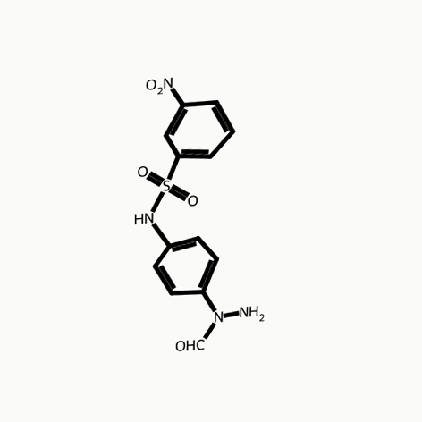 NN(C=O)c1ccc(NS(=O)(=O)c2cccc([N+](=O)[O-])c2)cc1